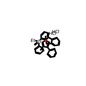 Cl.Cl.[CH2]=[Zr]([CH2]C)([C]1=C(C)C(c2ccccc2)=CC1C)([c]1ccccc1)[c]1cccc2c1Cc1ccccc1-2